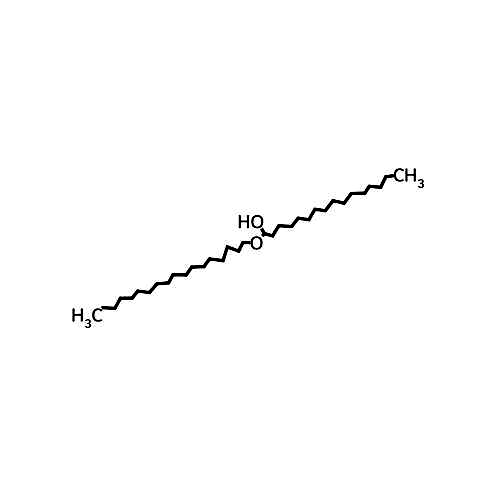 CCCCCCCCCCCCCCCCCCOC(O)CCCCCCCCCCCCCCC